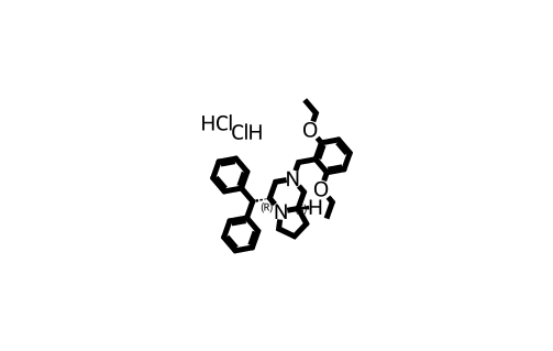 CCOc1cccc(OCC)c1CN1C[C@@H]2CCCN2[C@H](C(c2ccccc2)c2ccccc2)C1.Cl.Cl